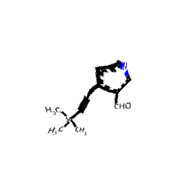 C[Si](C)(C)C#Cc1ccncc1C=O